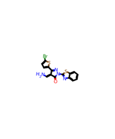 NC=C1C(=O)N(c2nc3ccccc3s2)N=C1c1ccc(Br)s1